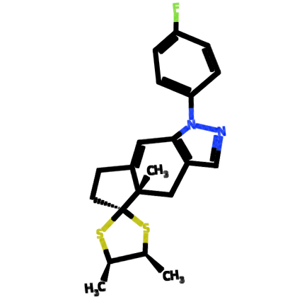 C[C@@H]1S[C@@]2(CCC3=Cc4c(cnn4-c4ccc(F)cc4)C[C@@]32C)S[C@@H]1C